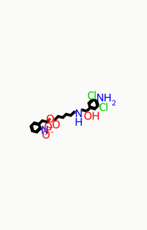 Nc1c(Cl)cc(C(O)CNCCCCCC(=O)OCCc2ccccc2[N+](=O)[O-])cc1Cl